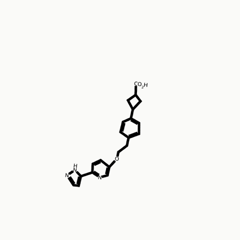 O=C(O)C1CC(c2ccc(CCOc3ccc(-c4ccn[nH]4)nc3)cc2)C1